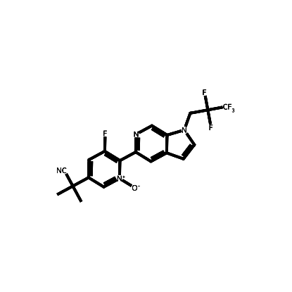 CC(C)(C#N)c1cc(F)c(-c2cc3ccn(CC(F)(F)C(F)(F)F)c3cn2)[n+]([O-])c1